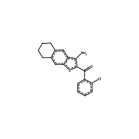 Nc1c(C(=O)c2ccccc2Cl)sc2cc3c(cc12)CCCC3